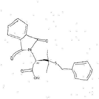 CC(C)(SCc1ccccc1)[C@@H](C(=O)O)N1C(=O)c2ccccc2C1=O